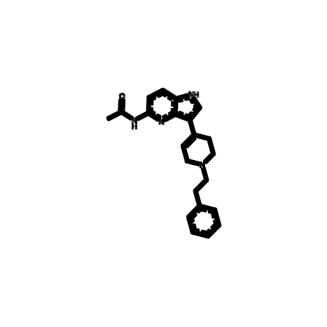 CC(=O)Nc1ccc2[nH]cc(C3=CCN(CCc4ccccc4)CC3)c2n1